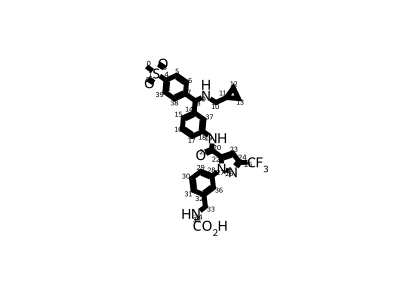 CS(=O)(=O)c1ccc(C(NCC2CC2)c2cccc(NC(=O)c3cc(C(F)(F)F)nn3-c3cccc(CNC(=O)O)c3)c2)cc1